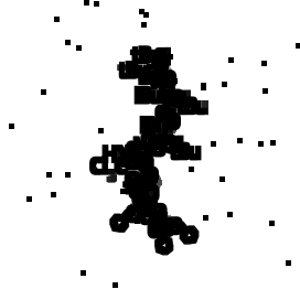 CC[C@H](C)[C@H](C[C@@H](CC(=O)O[C@H]1C(C)O[C@H](OC(=N)C(Cl)(Cl)Cl)C(OC[C@@H]2O[C@H](C)[C@H](O[C@@H]3OC[C@@H](OCc4ccccc4)C(O[C@@H]4OC[C@]5(COCc6ccccc6)O[C@@H](c6ccccc6)OC45)C3C)C3OC(C)(C)OC32)C1C)O[Si](C)(C)C(C)(C)C)OC(=O)C[C@H](C[C@H](O[C@@H]1O[C@@H](CO[Si](C)(C)C(C)(C)C)C(O[Si](C)(C)C(C)(C)C)C1C)[C@@H](C)CC)O[Si](C)(C)C(C)(C)C